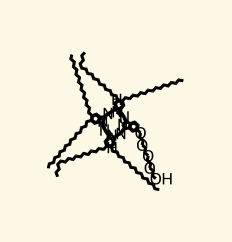 CCCCCCCCCCCCCCCCc1cc2c(cc1CCCCCCCCCCCCCCCC)-c1nc-2nc2[nH]c(nc3nc(nc4[nH]c(n1)c1cc(CCCCCCCCCCCCCCCC)c(CCCCCCCCCCCCCCCC)cc41)-c1cc(OCCOCCOCCOCCO)ccc1-3)c1cc(CCCCCCCCCCCCCCCC)c(CCCCCCCCCCCCCCCC)cc21